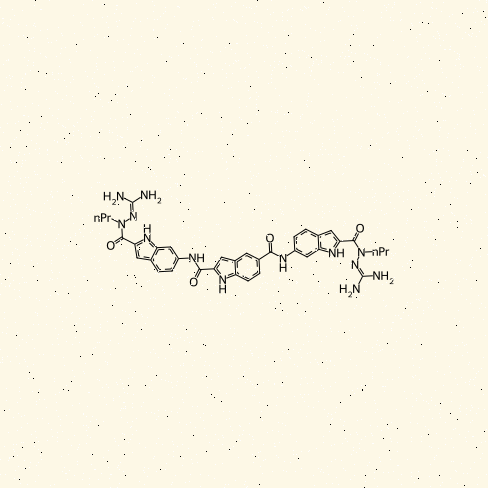 CCCN(N=C(N)N)C(=O)c1cc2ccc(NC(=O)c3ccc4[nH]c(C(=O)Nc5ccc6cc(C(=O)N(CCC)N=C(N)N)[nH]c6c5)cc4c3)cc2[nH]1